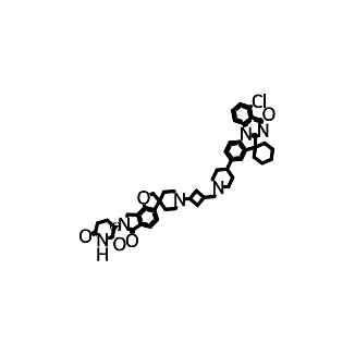 O=C1CC[C@H](N2Cc3c(ccc4c3OCC43CCN(C4CC(CN5CCC(c6ccc7c(c6)C6(CCCCC6)c6nc(=O)c8c(Cl)cccc8n6-7)CC5)C4)CC3)C2=O)C(=O)N1